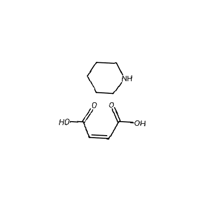 C1CCNCC1.O=C(O)/C=C\C(=O)O